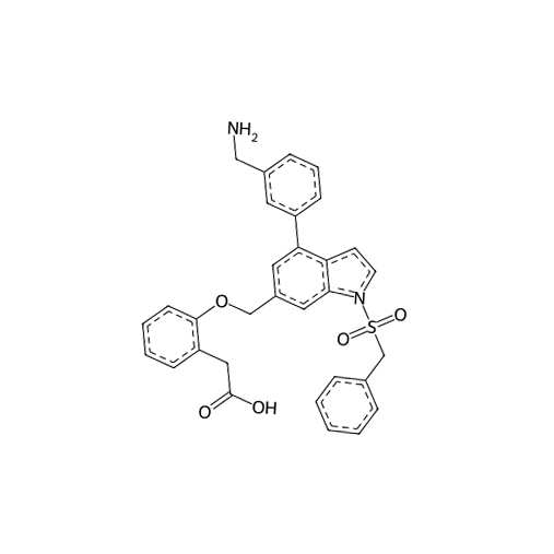 NCc1cccc(-c2cc(COc3ccccc3CC(=O)O)cc3c2ccn3S(=O)(=O)Cc2ccccc2)c1